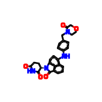 O=C1CCC(N2C(=O)c3cccc4c(Nc5ccc(CN6CCOCC6=O)cc5)ccc2c34)C(=O)N1